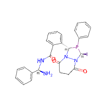 N[C@H](NC(=O)c1ccccc1[C@H]1N2C(=O)CCC(=O)N2[C@H](I)P1c1ccccc1)c1ccccc1